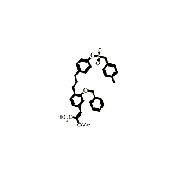 CO/C(=C/c1ccc(CCCc2ccc(OS(=O)(=O)Cc3ccc(C)cc3)cc2)c(OCc2ccccc2)c1)C(=O)O